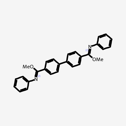 CO/C(=N\c1ccccc1)c1ccc(-c2ccc(/C(=N/c3ccccc3)OC)cc2)cc1